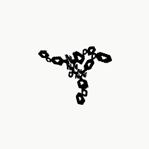 O=C(c1nc(-c2ccc(Oc3ccccc3)cc2)nc(-c2ccc(Oc3ccccc3)cc2)n1)c1nc(-c2ccc(Oc3ccccc3)cc2)nc(-c2ccc(Oc3ccccc3)cc2)n1